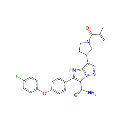 C=C(C)C(=O)N1CCC(c2cnn3c(C(N)=O)c(-c4ccc(Oc5ccc(F)cc5)cc4)[nH]c23)C1